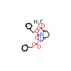 COC(=O)[C@H]1CCC[C@@H](CNC(=O)OCc2ccccc2)N1C(=O)OCc1ccccc1